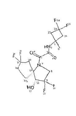 CC1(NC(=O)C(=O)N2CC(F)(F)[C@H](O)[C@]23CCC(F)(F)C3)CC(F)(F)C1